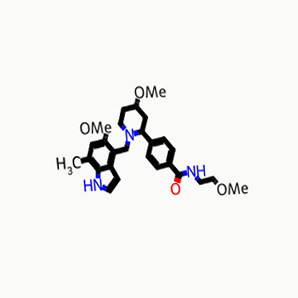 COCCNC(=O)c1ccc(C2CC(OC)CCN2Cc2c(OC)cc(C)c3[nH]ccc23)cc1